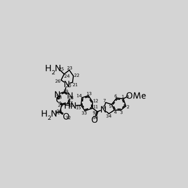 COc1ccc2c(c1)CN(C(=O)c1cccc(Nc3nc(N4CCCC(N)C4)ncc3C(N)=O)c1)C2